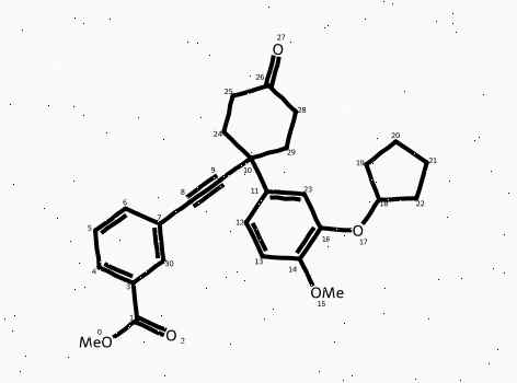 COC(=O)c1cccc(C#CC2(c3ccc(OC)c(OC4CCCC4)c3)CCC(=O)CC2)c1